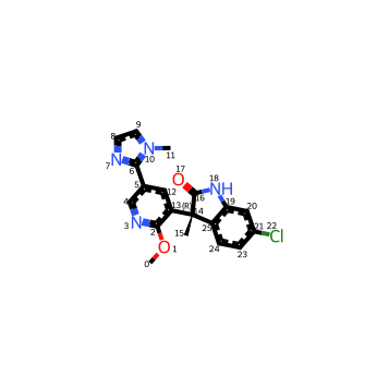 COc1ncc(-c2nccn2C)cc1[C@]1(C)C(=O)Nc2cc(Cl)ccc21